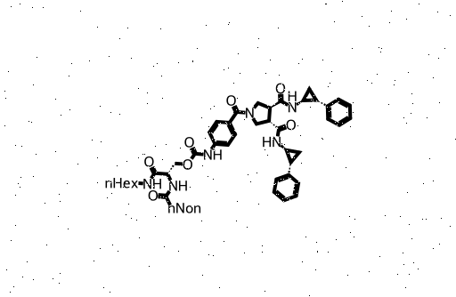 CCCCCCCCCC(=O)N[C@@H](COC(=O)Nc1ccc(C(=O)N2C[C@@H](C(=O)N[C@H]3C[C@@H]3c3ccccc3)[C@H](C(=O)N[C@H]3C[C@@H]3c3ccccc3)C2)cc1)C(=O)NCCCCCC